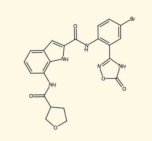 O=C(Nc1ccc(Br)cc1-c1noc(=O)[nH]1)c1cc2cccc(NC(=O)C3CCOC3)c2[nH]1